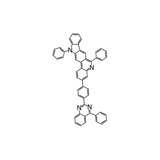 c1ccc(-c2nc(-c3ccc(-c4ccc5c(c4)nc(-c4ccccc4)c4cc6c7ccccc7n(-c7ccccc7)c6cc45)cc3)nc3ccccc23)cc1